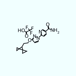 NC(=O)c1ccc(-n2ccc(OCCC3C4(CC4)C34CC4)n2)nc1.O=C(O)C(F)(F)F